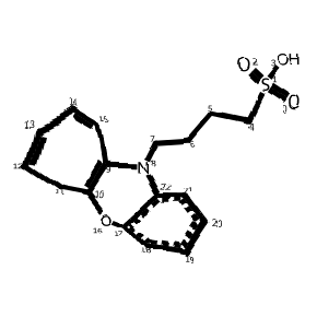 O=S(=O)(O)CCCCN1C2=C(CC=CC=C2)Oc2ccccc21